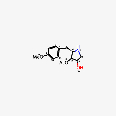 COc1ccc(C[C@H]2NCC(O)C2OC(C)=O)cc1